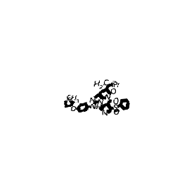 C=C(c1cc2cnc(Nc3ccc(OC4CCN(C)C4)cc3)nc2n(Cc2ccncc2S(=O)(=O)c2ccccc2)c1=O)C(C)C